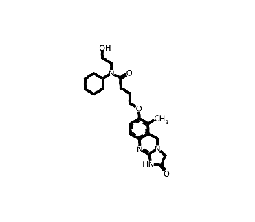 Cc1c(OCCCC(=O)N(CCO)C2CCCCC2)ccc2c1CN1CC(=O)NC1=N2